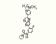 CN(C)c1ccc(-c2cnc3nc(-c4cc(NC(=O)N5CCCC5)ccc4F)cn3n2)cn1